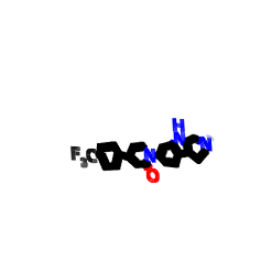 CN1CCc2c([nH]c3cc(-n4ccc(-c5ccc(C(F)(F)F)cc5)cc4=O)ccc23)C1